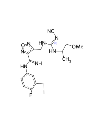 COCC(C)N/C(=N/C#N)NCc1nonc1C(=N)Nc1ccc(F)c(CI)c1